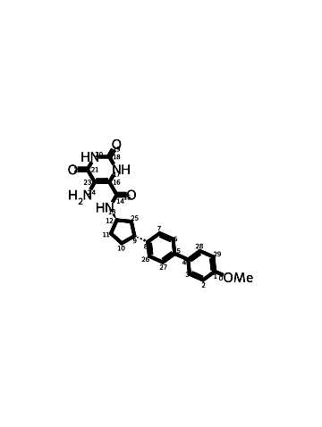 COc1ccc(-c2ccc([C@@H]3CC[C@H](NC(=O)c4[nH]c(=O)[nH]c(=O)c4N)C3)cc2)cc1